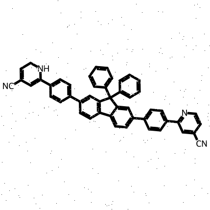 N#CC1=CCNC(c2ccc(-c3ccc4c(c3)C(c3ccccc3)(c3ccccc3)c3cc(-c5ccc(-c6cc(C#N)ccn6)cc5)ccc3-4)cc2)=C1